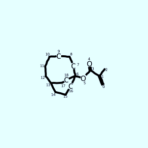 C=C(C)C(=O)OC12CCCCCCC(CCC1)CC2